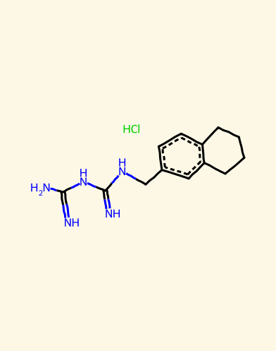 Cl.N=C(N)NC(=N)NCc1ccc2c(c1)CCCC2